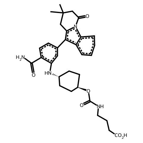 CC1(C)CC(=O)n2c(c(-c3ccc(C(N)=O)c(N[C@H]4CC[C@H](OC(=O)NCCCC(=O)O)CC4)c3)c3ccccc32)C1